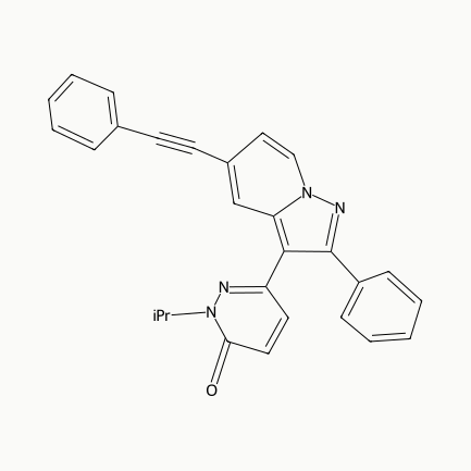 CC(C)n1nc(-c2c(-c3ccccc3)nn3ccc(C#Cc4ccccc4)cc23)ccc1=O